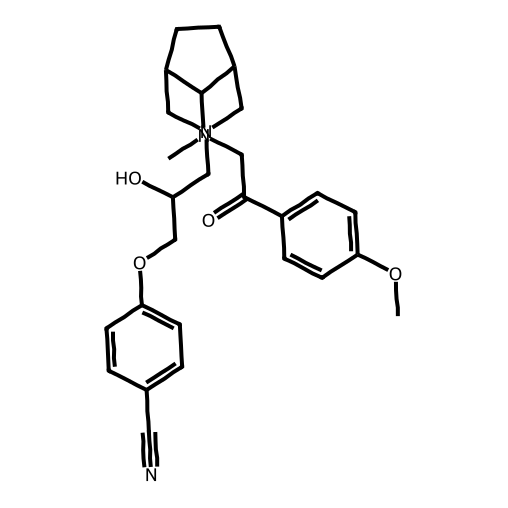 COc1ccc(C(=O)CN(C)C2C3CCC2CN(CC(O)COc2ccc(C#N)cc2)C3)cc1